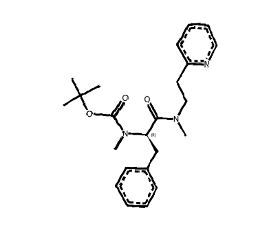 CN(CCc1ccccn1)C(=O)[C@@H](Cc1ccccc1)N(C)C(=O)OC(C)(C)C